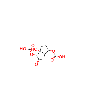 O=C(O)OC1CCC2(O)C(OC(=O)O)C(=O)CC12